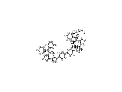 NC(=O)O[C@@H](C(=O)N1CCC[C@H]1c1ncc(-c2ccc(-c3ccc(-c4cnc([C@@H]5CCCN5C(=O)[C@@H](c5ccccc5)N5CCCCC5)[nH]4)cc3)cc2)[nH]1)c1ccccc1Cl